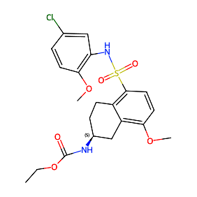 CCOC(=O)N[C@H]1CCc2c(S(=O)(=O)Nc3cc(Cl)ccc3OC)ccc(OC)c2C1